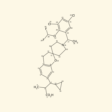 CC(C(=O)O)C(c1ccc2c(c1)OC1(CC2)CCN(C(C)c2cc(Cl)cc(Cl)c2OC(F)F)CC1)C1CC1